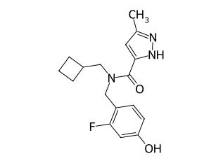 Cc1cc(C(=O)N(Cc2ccc(O)cc2F)CC2CCC2)[nH]n1